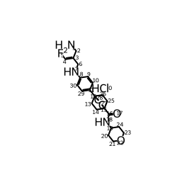 Cl.NCC(=CF)CNc1ccc(C23CCC(C(=O)NC4CCOCC4)(CC2)CC3)cc1